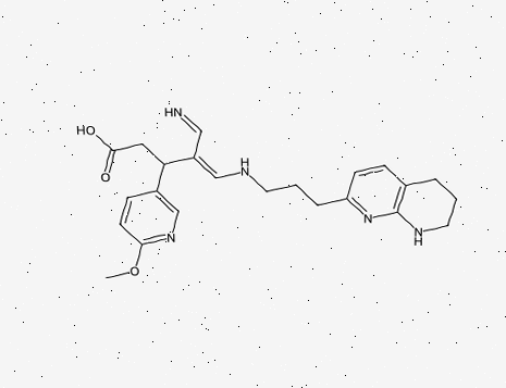 COc1ccc(C(CC(=O)O)/C(C=N)=C/NCCCc2ccc3c(n2)NCCC3)cn1